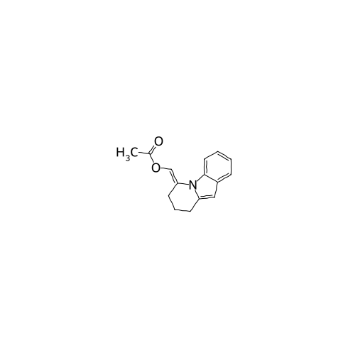 CC(=O)OC=C1CCCc2cc3ccccc3n21